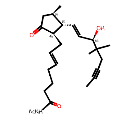 CC#CCC(C)(C)[C@H](O)C=C[C@H]1[C@H](C)CC(=O)[C@@H]1CC=CCCCC(=O)NC(C)=O